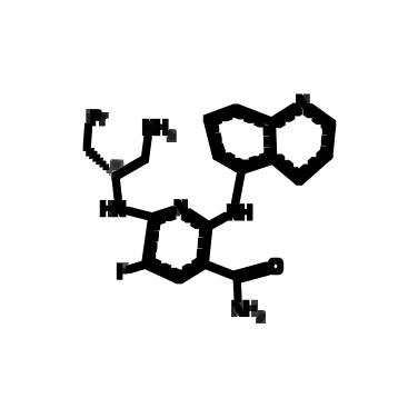 CC(C)C[C@H](CN)Nc1nc(Nc2cccc3ncccc23)c(C(N)=O)cc1F